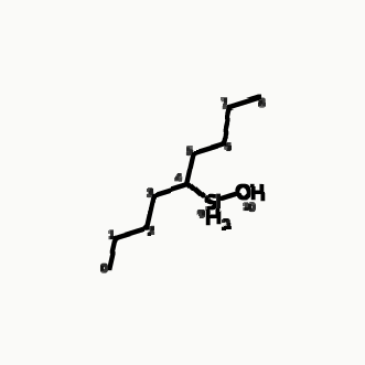 CCCCC(CCCC)[SiH2]O